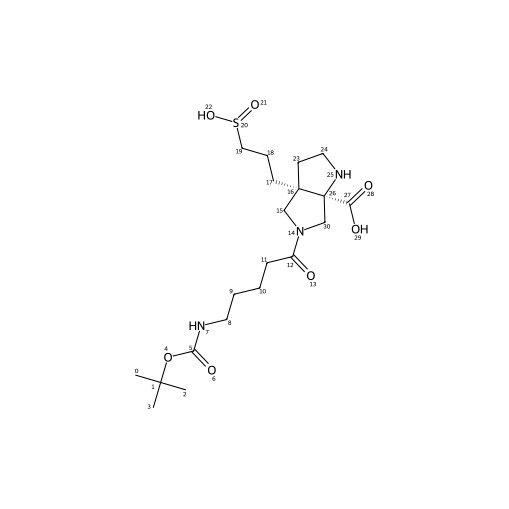 CC(C)(C)OC(=O)NCCCCC(=O)N1C[C@@]2(CCCS(=O)O)CCN[C@@]2(C(=O)O)C1